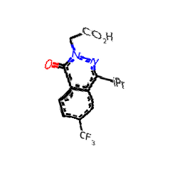 CC(C)c1nn(CC(=O)O)c(=O)c2ccc(C(F)(F)F)cc12